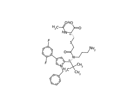 CC(=O)N[C@@H](CSCC(=O)N(CCCN)[C@@H](c1cc(-c2cc(F)ccc2F)cn1Cc1ccccc1)C(C)(C)C)C(=O)O